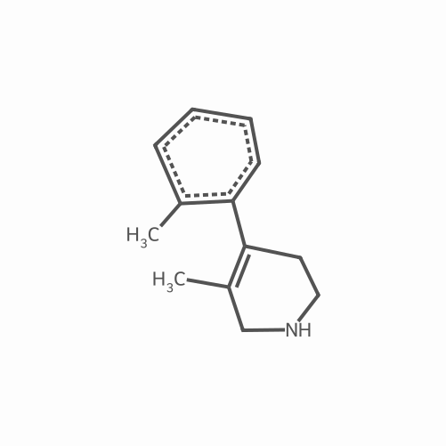 CC1=C(c2ccccc2C)CCNC1